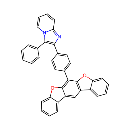 c1ccc(-c2c(-c3ccc(-c4c5oc6ccccc6c5cc5c4oc4ccccc45)cc3)nc3ccccn23)cc1